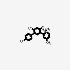 Cc1ccc(-c2cc(-c3cc(C)cc[n+]3C)c(C)cc2C)cc1